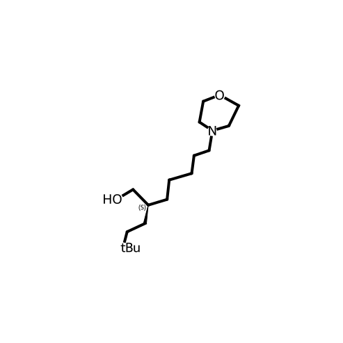 CC(C)(C)CC[C@@H](CO)CCCCCN1CCOCC1